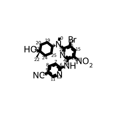 CN(c1nc(Nc2ccc(C#N)cn2)c([N+](=O)[O-])cc1Br)[C@H]1CC[C@@](C)(O)CC1